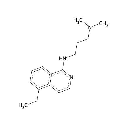 CCc1cccc2c(NCCCN(C)C)nccc12